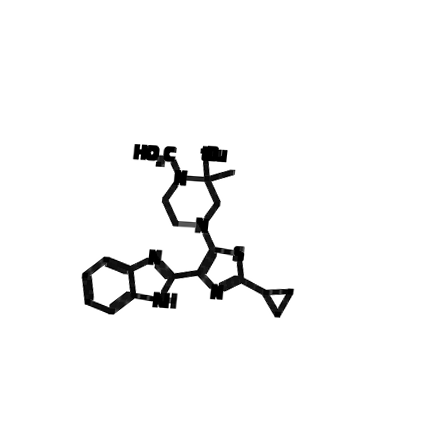 CC(C)(C)C1(C)CN(c2sc(C3CC3)nc2-c2nc3ccccc3[nH]2)CCN1C(=O)O